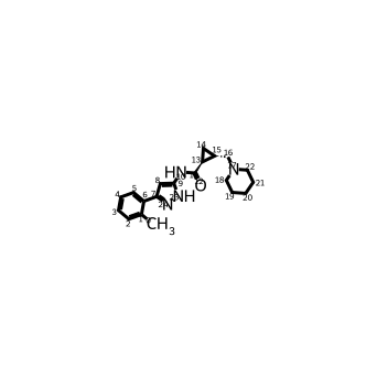 Cc1ccccc1-c1cc(NC(=O)[C@H]2C[C@@H]2CN2CCCCC2)[nH]n1